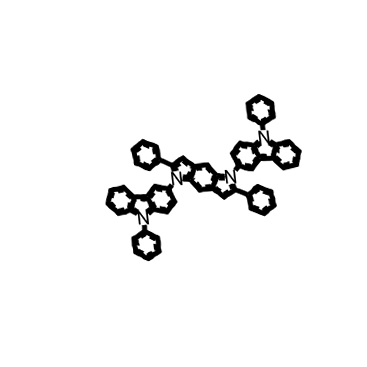 c1ccc(-c2cc3cc4c(cc(-c5ccccc5)n4-c4ccc5c(c4)c4ccccc4n5-c4ccccc4)cc3n2-c2ccc3c(c2)c2ccccc2n3-c2ccccc2)cc1